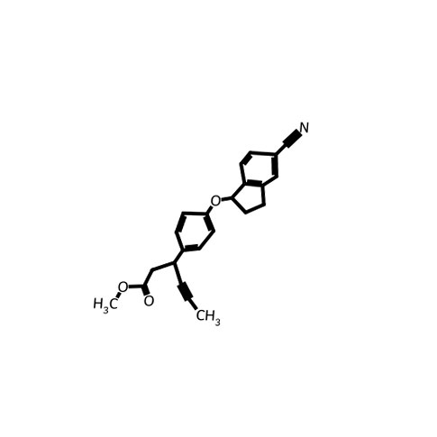 CC#CC(CC(=O)OC)c1ccc(OC2CCc3cc(C#N)ccc32)cc1